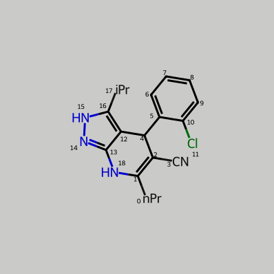 CCCC1=C(C#N)C(c2ccccc2Cl)c2c(n[nH]c2C(C)C)N1